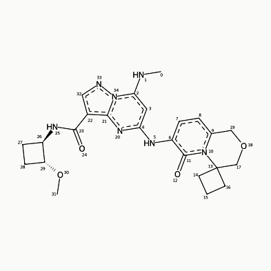 CNc1cc(Nc2ccc3n(c2=O)C2(CCC2)COC3)nc2c(C(=O)N[C@@H]3CC[C@H]3OC)cnn12